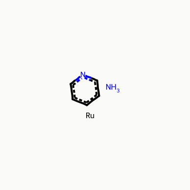 N.[Ru].c1ccncc1